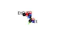 CCOC(=O)c1c(OC(=O)c2ccccc2)c2ncc(Cc3ccc(F)cc3C(=O)N(C)CC)cc2n(C)c1=O